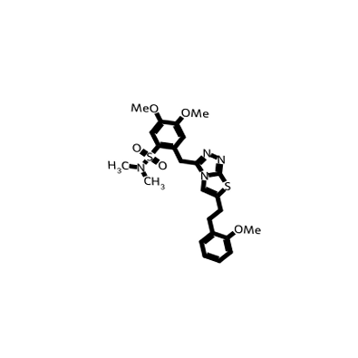 COc1ccccc1CCc1cn2c(Cc3cc(OC)c(OC)cc3S(=O)(=O)N(C)C)nnc2s1